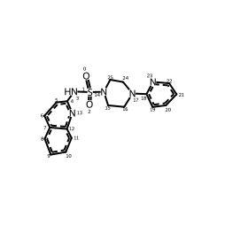 O=S(=O)(Nc1ccc2ccccc2n1)N1CCN(c2ccccn2)CC1